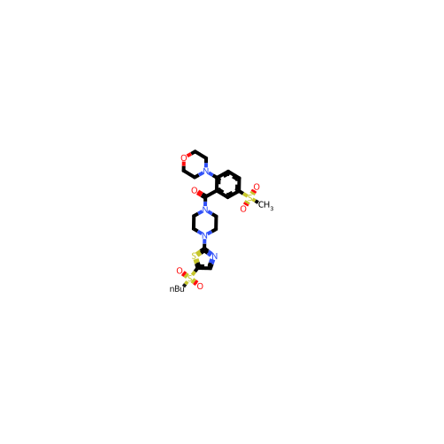 CCCCS(=O)(=O)c1cnc(N2CCN(C(=O)c3cc(S(C)(=O)=O)ccc3N3CCOCC3)CC2)s1